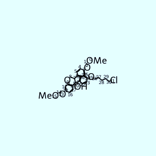 COCOc1ccc(C2COc3cc(OCOC)ccc3C2(O)c2ccc(OCCCCCCl)cc2)cc1